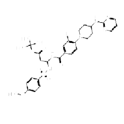 COc1ccc(S(=O)(=O)NC(CC(=O)OC(C)(C)C)NC(=O)c2ccc(N3CCC(Nc4ncccn4)CC3)c(F)c2)cc1